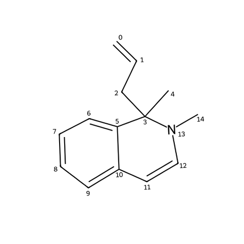 C=CCC1(C)c2ccccc2C=CN1C